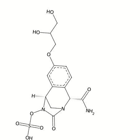 NC(=O)[C@H]1c2ccc(OCC(O)CO)cc2[C@H]2CN1C(=O)N2OS(=O)(=O)O